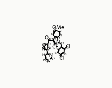 COc1ccc2c(c1)c(C(=O)c1nc(-c3ccncn3)no1)c(C(F)(F)F)n2Cc1ccc(Cl)cc1Cl